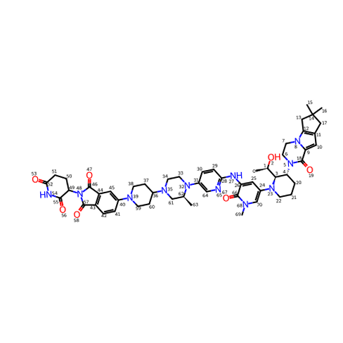 C[C@@H](O)[C@H]1[C@H](N2CCn3c(cc4c3CC(C)(C)C4)C2=O)CCCN1c1cc(Nc2ccc(N3CCN(C4CCN(c5ccc6c(c5)C(=O)N(C5CCC(=O)NC5=O)C6=O)CC4)C[C@@H]3C)cn2)c(=O)n(C)c1